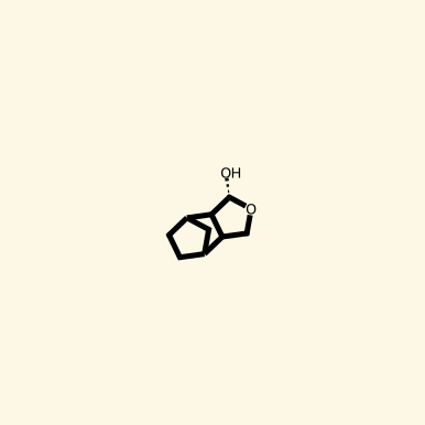 O[C@@H]1OCC2C3CCC(C3)C21